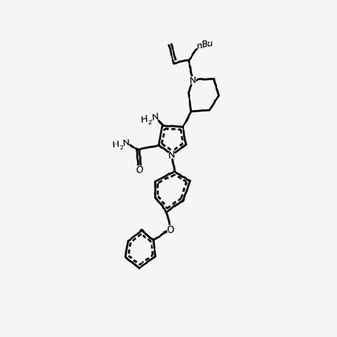 C=CC(CCCC)N1CCCC(c2cn(-c3ccc(Oc4ccccc4)cc3)c(C(N)=O)c2N)C1